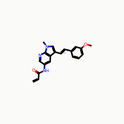 C=CC(=O)Nc1cnc2c(c1)c(/C=C/c1cccc(OC)c1)cn2C